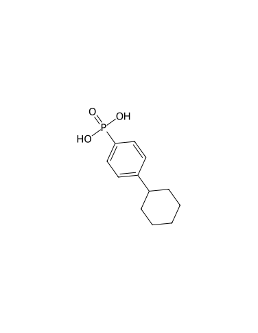 O=P(O)(O)c1ccc(C2CCCCC2)cc1